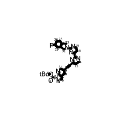 CC(C)(C)OC(=O)n1ncc2cc(C#Cc3ccnc(-c4ccnc(N5Cc6ccc(F)cc6C5)n4)n3)cnc21